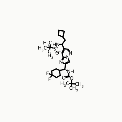 CC(C)(C)OC(=O)N[C@H](c1cn2ncc(C(CC3CCC3)N[S@@+]([O-])C(C)(C)C)cc2n1)C1CCC(F)(F)CC1